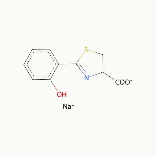 O=C([O-])C1CSC(c2ccccc2O)=N1.[Na+]